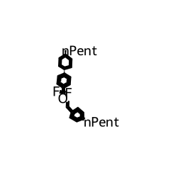 CCCCCc1ccc(CCOC(F)(F)c2ccc([C@H]3CC[C@H](CCCCC)CC3)cc2)cc1